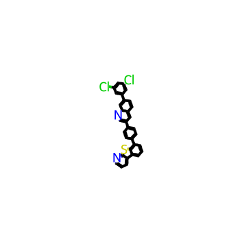 Clc1cc(Cl)cc(-c2ccc3cc(-c4ccc(-c5cccc6c5sc5ncccc56)cc4)cnc3c2)c1